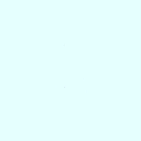 O=C(O)C(C(=O)O)c1ccc(CBr)cc1